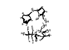 O=S(=O)(O)C(F)(F)C(F)(F)C(F)(F)C(F)(F)F.Sc1ccc(Sc2ccccc2)s1